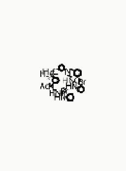 CC(=O)N(CCNC(=O)Nc1ccccc1Br)c1cccc(C)c1.Cc1cccc(N(CCNC(=O)Nc2ccccc2Br)Cc2ccccc2)c1